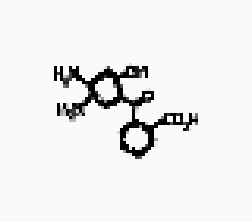 Nc1cc(O)c(C(=O)c2ccccc2C(=O)O)cc1N